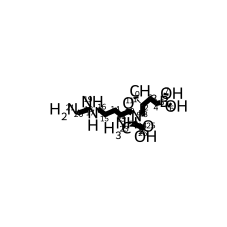 CC[C@H](CCB(O)O)CN(C(=O)[C@@H](N)CCCNC(=N)CN)[C@@H](C)C(=O)O